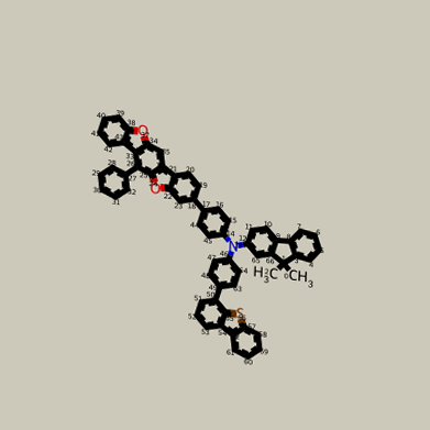 CC1(C)c2ccccc2-c2ccc(N(c3ccc(-c4ccc5c(c4)oc4c(-c6ccccc6)c6c(cc45)oc4ccccc46)cc3)c3ccc(-c4cccc5c4sc4ccccc45)cc3)cc21